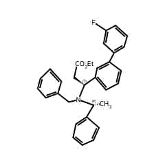 CCOC(=O)C[C@@H](c1cccc(-c2cccc(F)c2)c1)N(Cc1ccccc1)[C@H](C)c1ccccc1